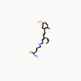 C\C=C/C(/C=C/c1cc(O)ccc1C)=C\C=N\CCCC(N)=O